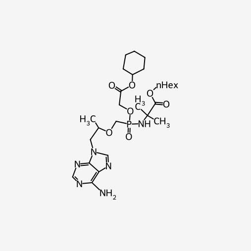 CCCCCCOC(=O)C(C)(C)NP(=O)(COC(C)Cn1cnc2c(N)ncnc21)OCC(=O)OC1CCCCC1